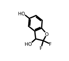 Oc1ccc2c(c1)C(O)C(F)(F)O2